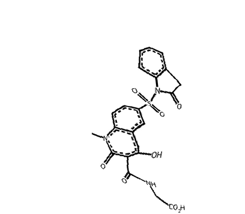 Cn1c(=O)c(C(=O)NCC(=O)O)c(O)c2cc(S(=O)(=O)N3C(=O)Cc4ccccc43)ccc21